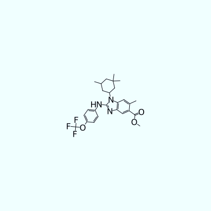 COC(=O)c1cc2nc(Nc3ccc(OC(F)(F)F)cc3)n(C3CC(C)CC(C)(C)C3)c2cc1C